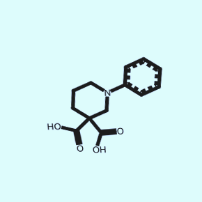 O=C(O)C1(C(=O)O)CCCN(c2ccccc2)C1